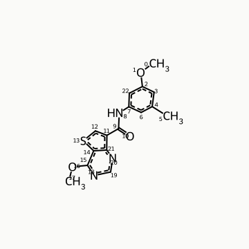 COc1cc(C)cc(NC(=O)c2csc3c(OC)ncnc23)c1